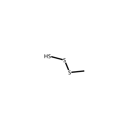 CSSS